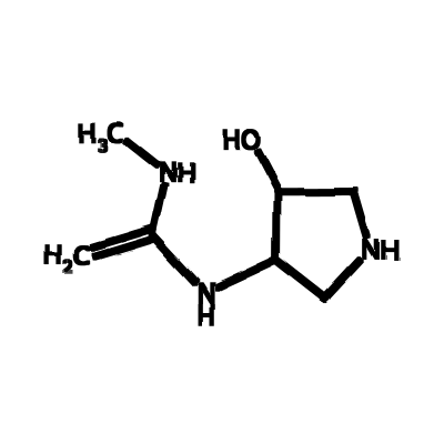 C=C(NC)NC1CNCC1O